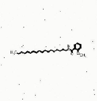 CCCCCCCCCCCCCCCCCCNC(=O)c1ccccc1OC